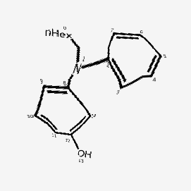 CCCCCCN(c1ccccc1)c1cccc(O)c1